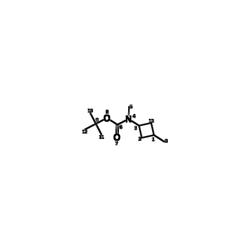 CC1CC(N(C)C(=O)OC(C)(C)C)C1